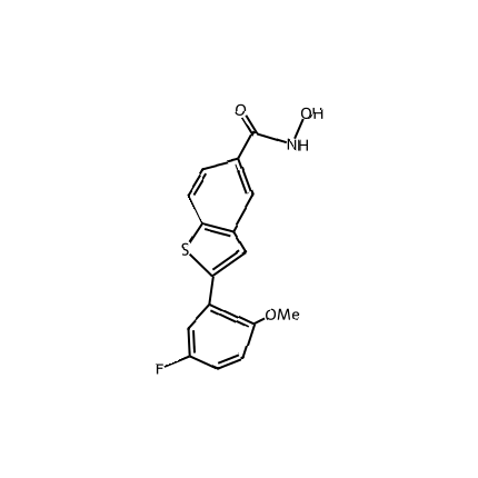 COc1ccc(F)cc1-c1cc2cc(C(=O)NO)ccc2s1